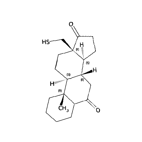 C[C@]12CCCCC1C(=O)C[C@H]1[C@@H]3CCC(=O)[C@@]3(CS)CC[C@@H]12